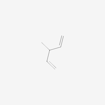 C=[C]C(C)C=C